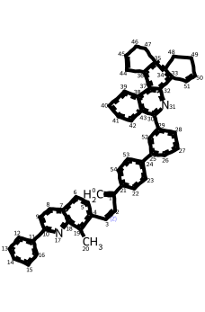 C=C(/C=C\c1ccc2ccc(-c3ccccc3)nc2c1C)c1ccc(-c2cccc(-c3nc4c5c(c6c(c4c4ccccc34)C=CCC6)CCC=C5)c2)cc1